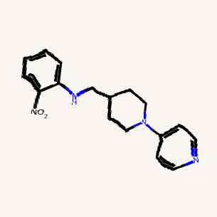 O=[N+]([O-])c1ccccc1NCC1CCN(c2ccncc2)CC1